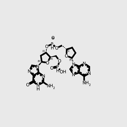 Nc1nc2c(ncn2[C@H]2C[C@H](O[PH](=O)OC[C@@H]3CC[C@H](n4cnc5c(N)ncnc54)O3)[C@@H](CO[PH](=O)O)O2)c(=O)[nH]1